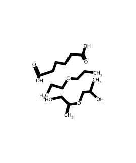 CC(O)COC(C)CO.CCCOCCC.O=C(O)CCCCC(=O)O